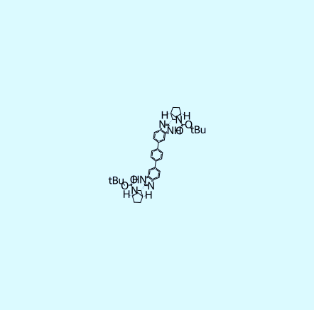 CC(C)(C)OC(=O)N1[C@@H]2CC[C@@H](C2)[C@H]1c1nc2ccc(-c3ccc(-c4ccc5nc([C@@H]6[C@H]7CC[C@H](C7)N6C(=O)OC(C)(C)C)[nH]c5c4)cc3)cc2[nH]1